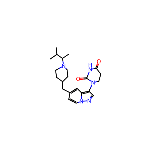 CC(C)C(C)N1CCC(Cc2ccn3ncc(N4CCC(=O)NC4=O)c3c2)CC1